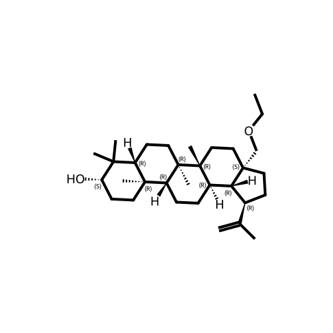 C=C(C)[C@@H]1CC[C@]2(COCC)CC[C@]3(C)[C@H](CC[C@@H]4[C@@]5(C)CC[C@H](O)C(C)(C)[C@@H]5CC[C@]43C)[C@@H]12